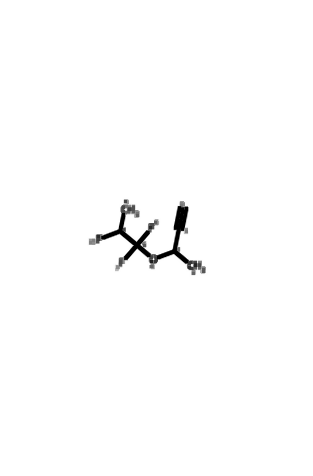 [C]#CC(C)OC(F)(F)C(C)F